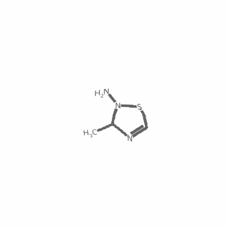 CC1N=CSN1N